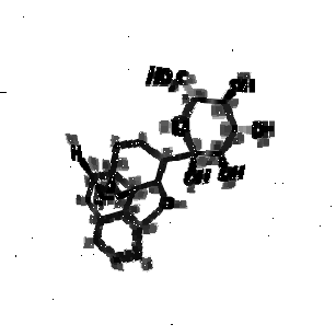 O=C(O)[C@H]1O[C@@](O)(C2CC[C@H]3[C@H]4Cc5cccc6c5[C@@]3(CCN4)C2O6)[C@H](O)[C@@H](O)[C@@H]1O